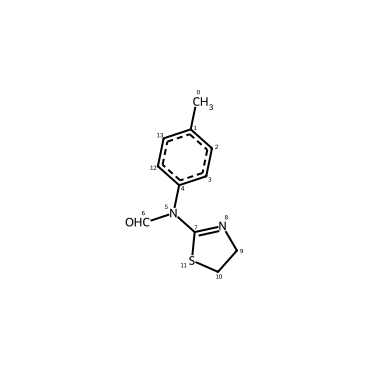 Cc1ccc(N(C=O)C2=NCCS2)cc1